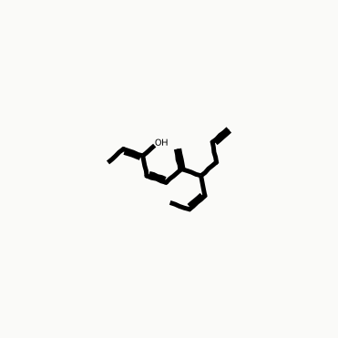 C=CCC(/C=C\C)C(=C)/C=C\C(O)=C/C